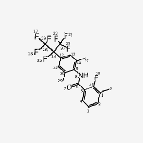 Cc1cccc(C(=O)Nc2c(C)cc(C(F)(C(F)(F)F)C(F)(F)F)cc2C)c1F